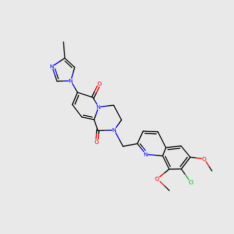 COc1cc2ccc(CN3CCn4c(ccc(-n5cnc(C)c5)c4=O)C3=O)nc2c(OC)c1Cl